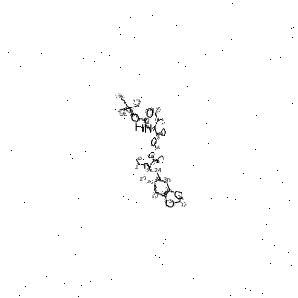 CCN(C(=O)OCOC(=O)[C@H](NC(=O)OC(C)(C)C)C(C)C)[C@@H](C)Cc1ccc2c(c1)OCO2